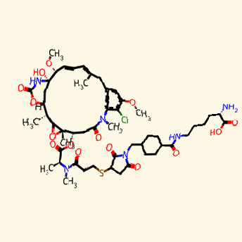 COc1cc2cc(c1Cl)N(C)C(=O)C[C@H](OC(=O)[C@H](C)N(C)C(=O)CCSC1CC(=O)N(CC3CCC(C(=O)NCCCC[C@H](N)C(=O)O)CC3)C1=O)[C@]1(C)OC1[C@H](C)[C@@H]1C[C@@](O)(NC(=O)O1)[C@H](OC)/C=C/C=C(\C)C2